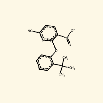 CC(C)(C)c1ccccc1Oc1nc(O)ccc1[N+](=O)[O-]